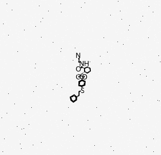 N#CCNC(=O)[C@H]1CCCC[C@@H]1CS(=O)(=O)c1ccc(SCCc2ccccc2)cc1